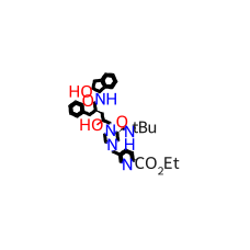 CCOC(=O)c1ccc(CN2CCN(C[C@@H](O)C[C@@H](Cc3ccccc3)C(=O)N[C@H]3c4ccccc4C[C@H]3O)[C@H](C(=O)NC(C)(C)C)C2)cn1